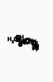 C[C@]1(O)C[C@@H](C(=O)N2CC3(CCC(Cc4ccc(OC(F)F)cc4)CC3)C2)C1